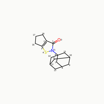 O=c1c2c(sn1C13CC4CC(CC(C4)C1)C3)CCC2